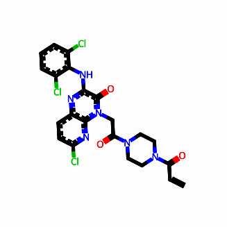 C=CC(=O)N1CCN(C(=O)Cn2c(=O)c(Nc3c(Cl)cccc3Cl)nc3ccc(Cl)nc32)CC1